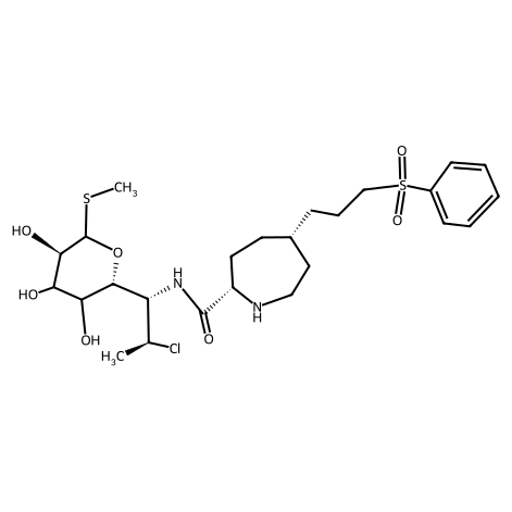 CSC1O[C@H]([C@H](NC(=O)[C@@H]2CC[C@H](CCCS(=O)(=O)c3ccccc3)CCN2)[C@H](C)Cl)C(O)C(O)[C@H]1O